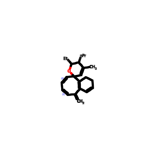 C=C1/C=C\C=C/C2(C=C(C)C(CCC)C(CC)O2)C2=C1C=CCC2